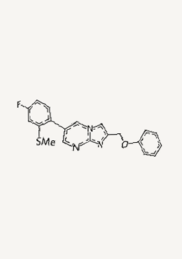 CSc1cc(F)ccc1-c1cnc2nc(COc3ccccc3)cn2c1